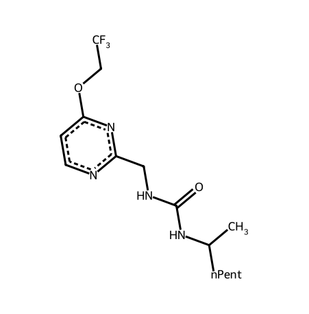 CCCCCC(C)NC(=O)NCc1nccc(OCC(F)(F)F)n1